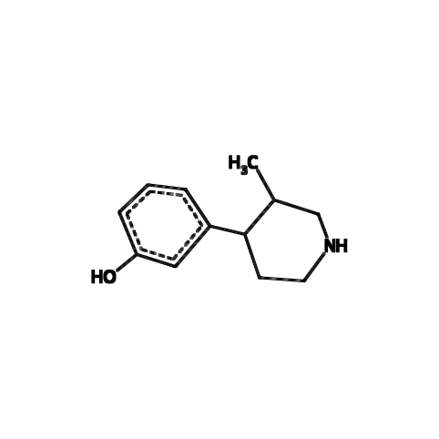 CC1CNCCC1c1cccc(O)c1